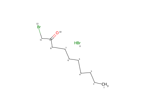 Br.CCCCCCCCC(=O)CBr